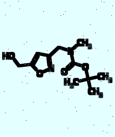 CN(Cc1cc(CO)on1)C(=O)OC(C)(C)C